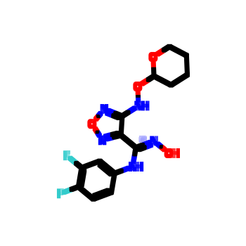 O/N=C(\Nc1ccc(F)c(F)c1)c1nonc1NOC1CCCCO1